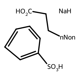 CCCCCCCCCCCC(=O)O.O=S(=O)(O)c1ccccc1.[NaH]